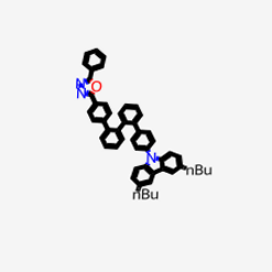 CCCCc1ccc2c(c1)c1cc(CCCC)ccc1n2-c1ccc(-c2ccccc2-c2ccccc2-c2ccc(-c3nnc(-c4ccccc4)o3)cc2)cc1